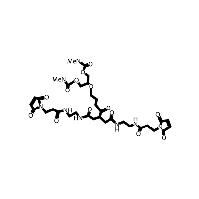 CNC(=O)OCC(COC(=O)NC)OCCCC(=O)C(CC(=O)NCCNC(=O)CCN1C(=O)C=CC1=O)CC(=O)NCCNC(=O)CCN1C(=O)C=CC1=O